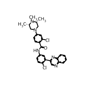 C[C@@H]1CN(c2ccc(C(=O)Nc3ccc(Cl)c(-c4cnc5ccccc5n4)c3)c(Cl)c2)C[C@H](C)N1C